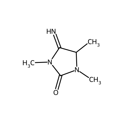 CC1C(=N)N(C)C(=O)N1C